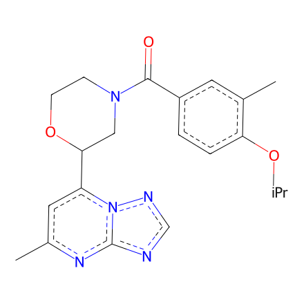 Cc1cc(C2CN(C(=O)c3ccc(OC(C)C)c(C)c3)CCO2)n2ncnc2n1